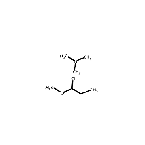 CN(C)C.[CH2]CC(Cl)O[SiH3]